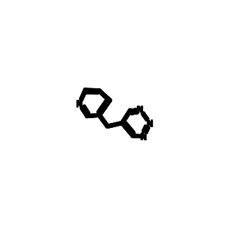 [c]1nnncc1Cc1cccnc1